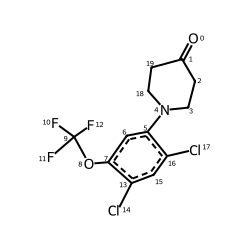 O=C1CCN(c2cc(OC(F)(F)F)c(Cl)cc2Cl)CC1